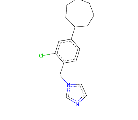 Clc1cc(C2CCCCCC2)ccc1Cn1ccnc1